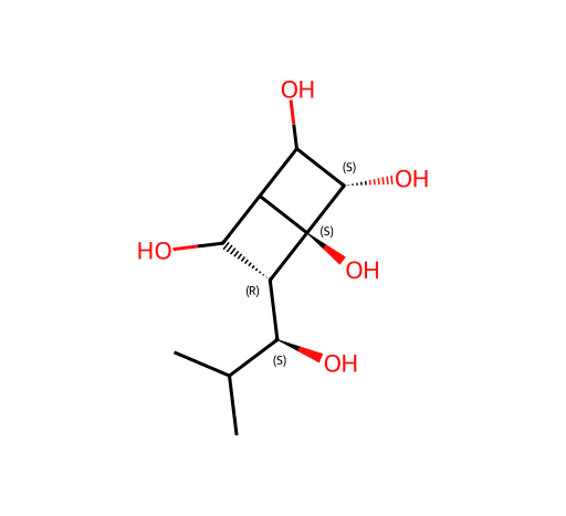 CC(C)[C@H](O)[C@@H]1C(O)C2C(O)[C@H](O)[C@@]21O